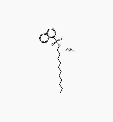 CCCCCCCCCCCOS(=O)(=O)c1cccc2ccccc12.[MgH2]